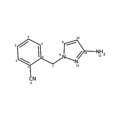 N#Cc1ccccc1Cn1ccc(N)n1